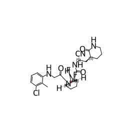 Cc1c(Cl)cccc1NCC(=O)N1[C@@H]2CC[C@H]([C@H]1C(=O)N[C@H](C#N)C[C@@H]1CCCNC1=O)C(F)(F)C2